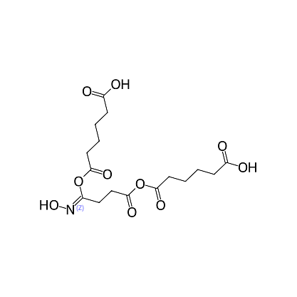 O=C(O)CCCCC(=O)OC(=O)CC/C(=N/O)OC(=O)CCCCC(=O)O